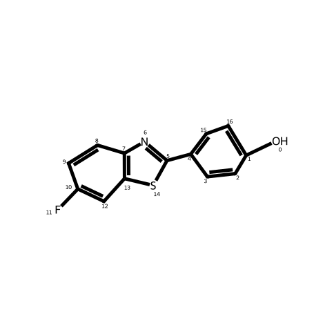 Oc1ccc(-c2nc3ccc(F)cc3s2)cc1